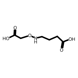 O=C(O)CCCNOCC(=O)O